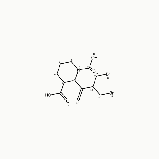 O=C(O)C1CCCN(C(=O)O)N1C(=O)C(CBr)CBr